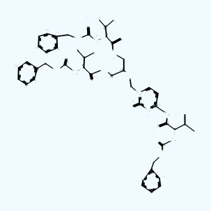 CC(C)[C@H](NC(=O)OCc1ccccc1)C(=O)Nc1ccn(COC(COC(=O)[C@@H](NC(=O)OCc2ccccc2)C(C)C)COC(=O)[C@@H](NC(=O)OCc2ccccc2)C(C)C)c(=O)n1